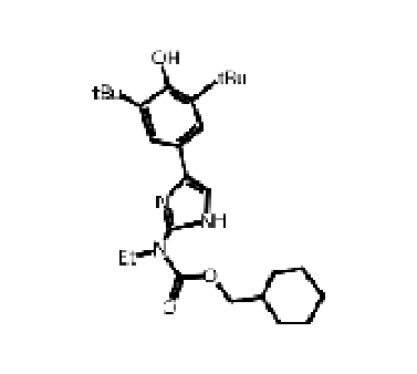 CCN(C(=O)OCC1CCCCC1)c1nc(-c2cc(C(C)(C)C)c(O)c(C(C)(C)C)c2)c[nH]1